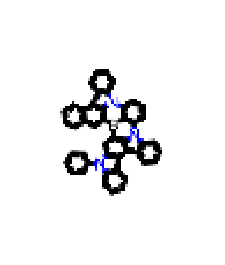 c1ccc(-n2c3ccccc3c3c4c5ccccc5n5c4c(cc32)B2c3c(cccc3-5)-n3c4ccccc4c4c5ccccc5cc2c43)cc1